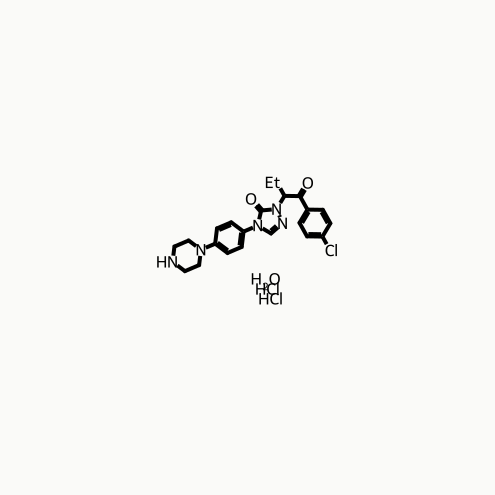 CCC(C(=O)c1ccc(Cl)cc1)n1ncn(-c2ccc(N3CCNCC3)cc2)c1=O.Cl.Cl.O